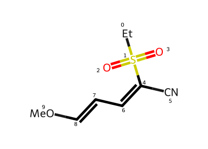 CCS(=O)(=O)/C(C#N)=C\C=C\OC